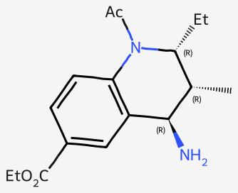 CCOC(=O)c1ccc2c(c1)[C@H](N)[C@@H](C)[C@@H](CC)N2C(C)=O